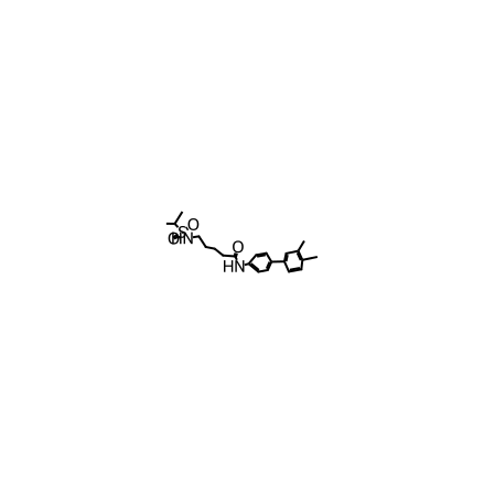 Cc1ccc(-c2ccc(NC(=O)CCCCNS(=O)(=O)C(C)C)cc2)cc1C